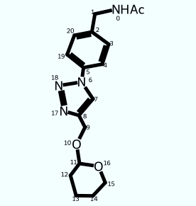 CC(=O)NCc1ccc(-n2cc(COC3CCCCO3)nn2)cc1